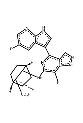 O=C(O)[C@@H]1C(Nc2nc(-c3c[nH]c4ncc(F)cc34)c3cn[nH]c3c2F)[C@H]2CC[C@@H]1CC2